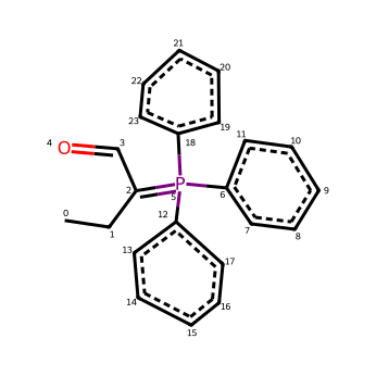 CCC(C=O)=P(c1ccccc1)(c1ccccc1)c1ccccc1